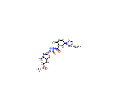 CN[C@H]1CCN(C2C=CC(Cl)C(C(=O)NC(=O)NC3=NC4CCC([S+](C)[O-])CC4S3)C2)C1